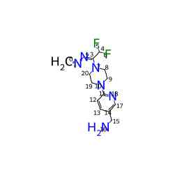 C=N/N=C(/C(F)F)N1CCN(c2ccc(CN)cn2)CC1